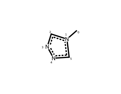 Cn1cnnc1